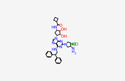 Cl.Cl.N[C@@H]1CCN(c2nc(NCC(c3ccccc3)c3ccccc3)c3ncn([C@@H]4C[C@H](NC(=O)C5CCC5)[C@@H](O)[C@H]4O)c3n2)C1